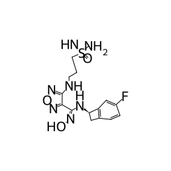 N=S(N)(=O)CCCNc1nonc1/C(=N\O)N[C@@H]1Cc2ccc(F)cc21